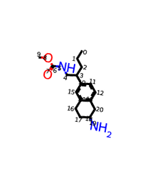 CCCC(CNC(=O)OC)c1ccc2c(c1)CCC(N)C2